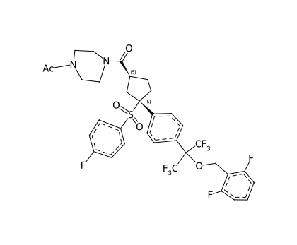 CC(=O)N1CCN(C(=O)[C@H]2CC[C@](c3ccc(C(OCc4c(F)cccc4F)(C(F)(F)F)C(F)(F)F)cc3)(S(=O)(=O)c3ccc(F)cc3)C2)CC1